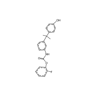 CC(C)(c1ccc(O)cc1)c1cccc(NC(=O)Oc2ccccc2F)c1